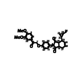 COc1ccc(C(=O)COc2ccc(N3C(=O)C4CC=CC([C@H]5C[C@H]5C)C4C3=O)cc2)cc1OC